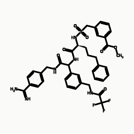 COC(=O)c1cccc(CS(=O)(=O)N[C@H](CCCc2ccccc2)C(=O)NC(C(=O)NCc2ccc(C(=N)N)cc2)c2cccc(CNC(=O)C(F)(F)F)c2)c1